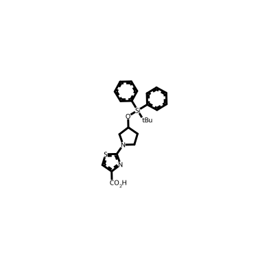 CC(C)(C)[Si](OC1CCN(c2nc(C(=O)O)cs2)C1)(c1ccccc1)c1ccccc1